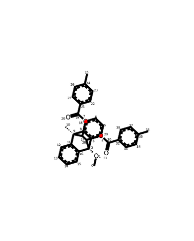 CO[C@]12c3ccccc3[C@](C)(c3ccccc31)C(OC(=O)c1ccc(C)cc1)C2OC(=O)c1ccc(C)cc1